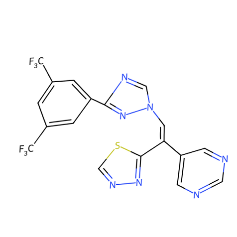 FC(F)(F)c1cc(-c2ncn(C=C(c3cncnc3)c3nncs3)n2)cc(C(F)(F)F)c1